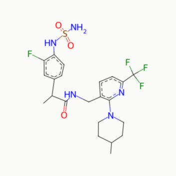 CC1CCN(c2nc(C(F)(F)F)ccc2CNC(=O)C(C)c2ccc(NS(N)(=O)=O)c(F)c2)CC1